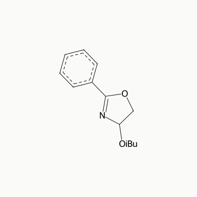 CC(C)COC1COC(c2ccccc2)=N1